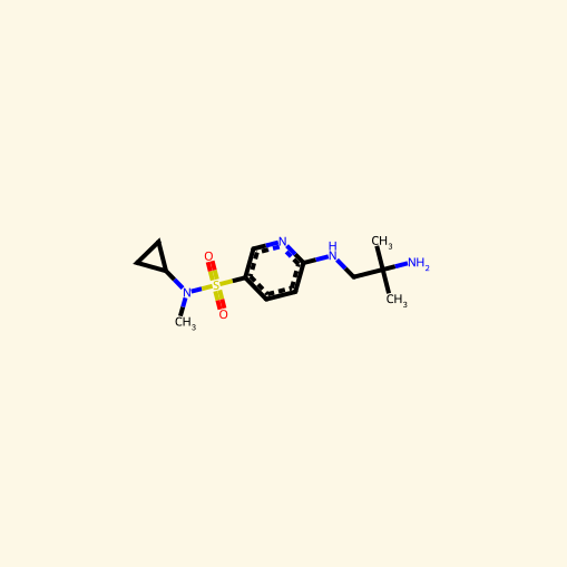 CN(C1CC1)S(=O)(=O)c1ccc(NCC(C)(C)N)nc1